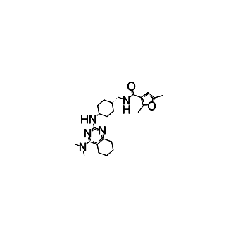 Cc1cc(C(=O)NC[C@H]2CC[C@@H](Nc3nc4c(c(N(C)C)n3)CCCC4)CC2)c(C)o1